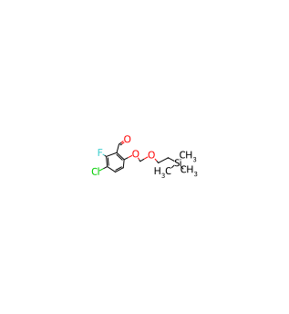 C[Si](C)(C)CCOCOc1ccc(Cl)c(F)c1C=O